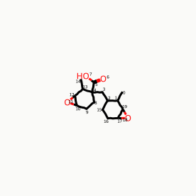 CC1C(CC2(C(=O)O)CCC3OC3C2C)CCC2OC21